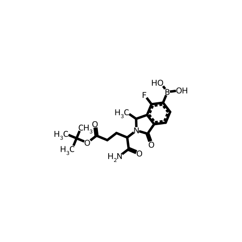 CC1c2c(ccc(B(O)O)c2F)C(=O)N1C(CCC(=O)OC(C)(C)C)C(N)=O